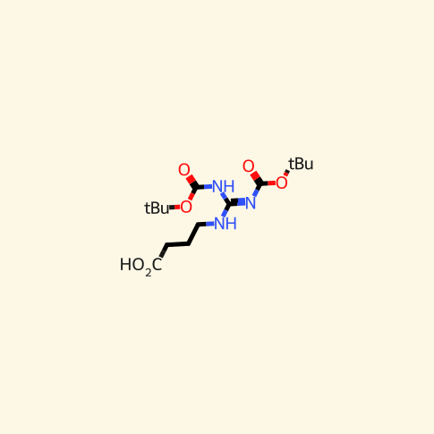 CC(C)(C)OC(=O)N=C(NCCCC(=O)O)NC(=O)OC(C)(C)C